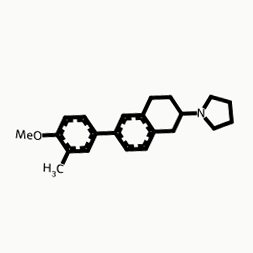 COc1ccc(-c2ccc3c(c2)CCC(N2CCCC2)C3)cc1C